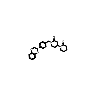 O=C1CC(N2CCCCC2=O)CCN1Cc1ccc([C@H]2COc3ccccc3O2)cc1